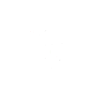 CCC(C)OC(F)(F)OC1CCC(=O)CC1